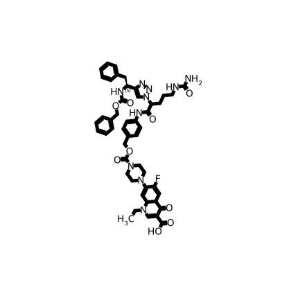 CCN1C=C(C(=O)O)C(=O)C2C=C(F)C(N3CCN(C(=O)OCc4ccc(NC(=O)C(CCCNC(N)=O)n5cc([C@H](Cc6ccccc6)NC(=O)OCc6ccccc6)nn5)cc4)CC3)=CC21